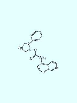 O=C(Nc1cccc2cnccc12)O[C@@H]1CNC[C@H]1c1ccccc1